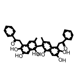 Cc1cc2c(CC(=O)c3ccccc3)c(O)c(O)cc2c(O)c1-c1c(C)cc2c(CC(=O)c3ccccc3)c(O)c(O)cc2c1O